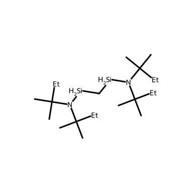 CCC(C)(C)N([SiH2]C[SiH2]N(C(C)(C)CC)C(C)(C)CC)C(C)(C)CC